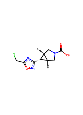 O=C(O)N1C[C@@H]2[C@H](C1)[C@@H]2c1noc(CCl)n1